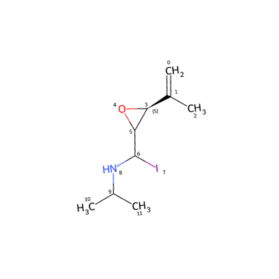 C=C(C)[C@@H]1OC1C(I)NC(C)C